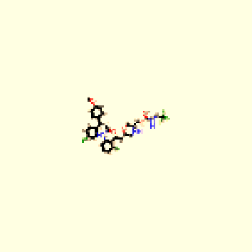 COc1ccc([C@H](CC(=O)Nc2cccc(F)c2CC[C@@H]2CN[C@H](COC(=O)NCC(F)(F)F)CO2)c2ccc(F)cc2)cc1